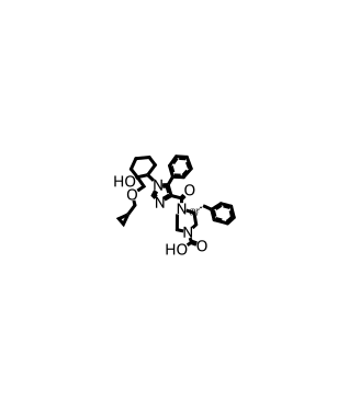 O=C(O)N1CCN(C(=O)c2ncn(C3CCCCC3(O)COCC3CC3)c2-c2ccccc2)[C@H](Cc2ccccc2)C1